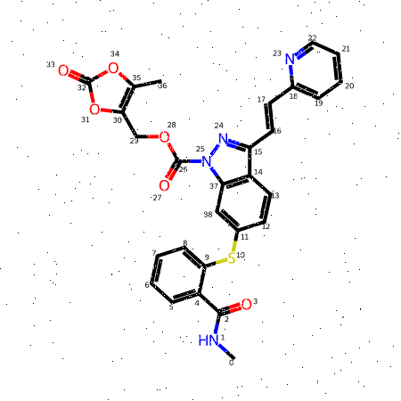 CNC(=O)c1ccccc1Sc1ccc2c(/C=C/c3ccccn3)nn(C(=O)OCc3oc(=O)oc3C)c2c1